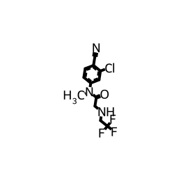 CN(C(=O)CNCC(F)(F)F)c1ccc(C#N)c(Cl)c1